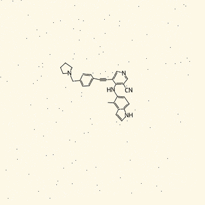 Cc1c(Nc2c(C#N)cncc2C#Cc2ccc(CN3CCCC3)cc2)ccc2[nH]ccc12